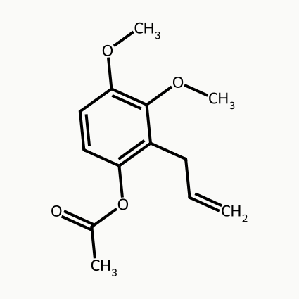 C=CCc1c(OC(C)=O)ccc(OC)c1OC